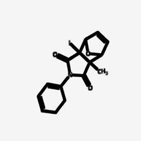 CC12C(=O)N(C3=CC=CCC3)C(=O)C1(I)C1C=CC2O1